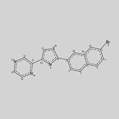 Brc1ccc2ccc(-c3nc(-c4cnccn4)cs3)cc2c1